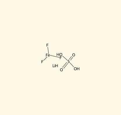 O=S(=O)(O)O.[F][Fe]([F])[F].[LiH]